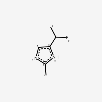 CCC(C)c1cnc(C)[nH]1